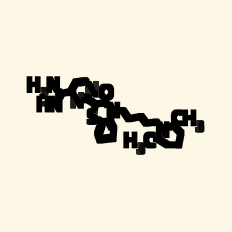 C[C@@H]1CCC[C@H](C)N1CCCCCN1C(=O)C(c2nccc(C(=N)N)n2)Sc2ccccc21